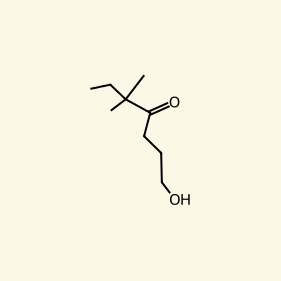 CCC(C)(C)C(=O)CCCO